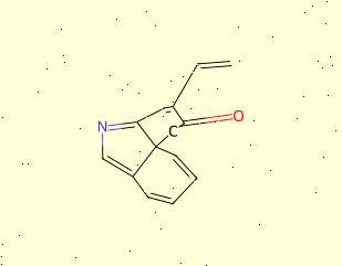 C=CC1=CC2=NC=C3C=CC=CC32CC1=O